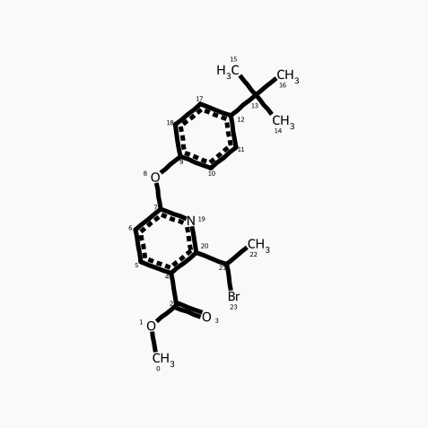 COC(=O)c1ccc(Oc2ccc(C(C)(C)C)cc2)nc1C(C)Br